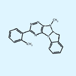 Cc1ccccc1-c1nnc2c(n1)N1c3ccccc3CC1N2C